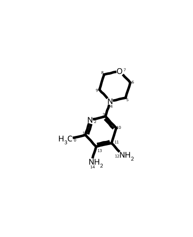 Cc1nc(N2CCOCC2)cc(N)c1N